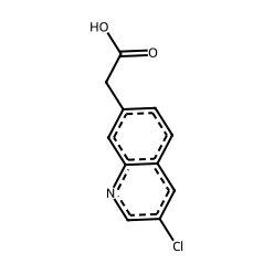 O=C(O)Cc1ccc2cc(Cl)cnc2c1